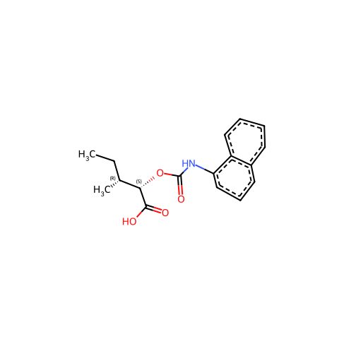 CC[C@@H](C)[C@H](OC(=O)Nc1cccc2ccccc12)C(=O)O